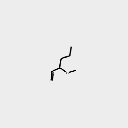 C=CC(CCC)OC